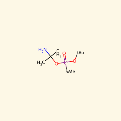 CSP(=O)(OC(C)(C)C)OC(C)(C)N